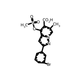 Cc1cn2nc(-c3cccc(Br)c3)cc2c(OS(C)(=O)=O)c1C(=O)O